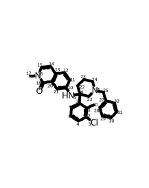 Cc1c(Cl)cccc1C1(Nc2ccc3ccn(C)c(=O)c3c2)CCCN(Cc2ccccc2)C1